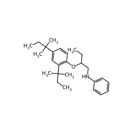 CCC(CNc1[c]cccc1)Oc1ccc(C(C)(C)CC)cc1C(C)(C)CC